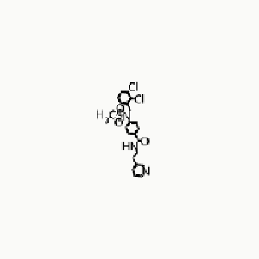 CS(=O)(=O)N(Cc1cccc(Cl)c1Cl)c1ccc(C(=O)NCCc2cccnc2)cc1